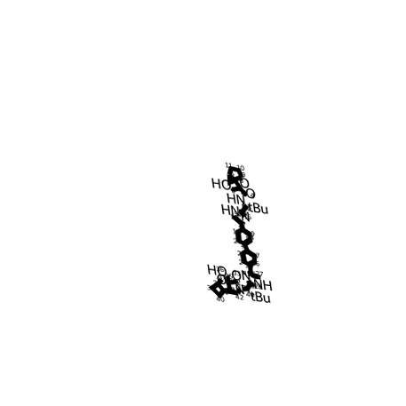 CC(C)(C)[C@H](NC(=O)C1(CO)OC2CCC3CC321)c1nc(-c2ccc(-c3ccc(-c4c[nH]c([C@@H](N5C(=O)C6(CO)OC7CCC78C5C68)C(C)(C)C)n4)cc3)cc2)c[nH]1